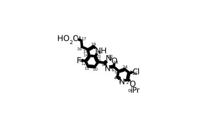 CC(C)Oc1ncc(-c2nc(-c3ccc(F)c4c(CCC(=O)O)c[nH]c34)no2)cc1Cl